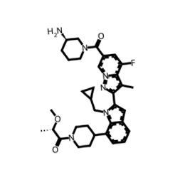 CO[C@@H](C)C(=O)N1CCC(c2cccc3cc(-c4nn5cc(C(=O)N6CCC[C@@H](N)C6)cc(F)c5c4C)n(CC4CC4)c23)CC1